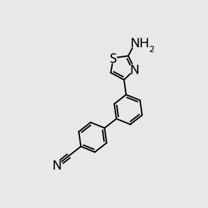 N#Cc1ccc(-c2cccc(-c3csc(N)n3)c2)cc1